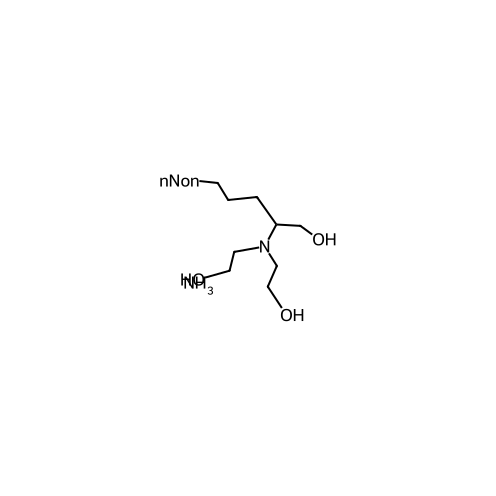 CCCCCCCCCCCCC(CO)N(CCO)CCO.N